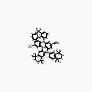 CC(C)(C)c1ccc2c(c1)B1c3cc4c(cc3N(c3ccc5c(c3)C(C)(C)CCC5(C)C)c3cc(C(C)(C)C)cc(c31)N2c1cccc2c1-c1ccccc1C2(C)C)C(C)(C)CCC4(C)C